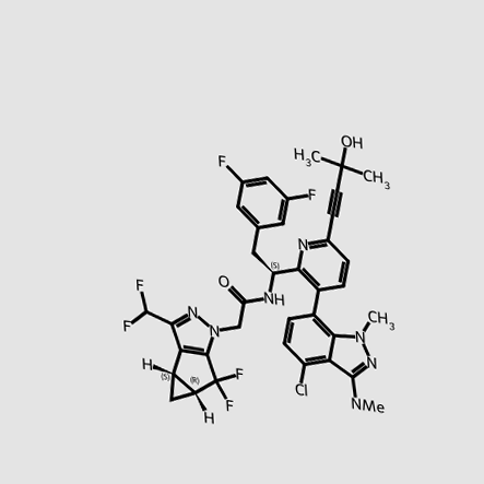 CNc1nn(C)c2c(-c3ccc(C#CC(C)(C)O)nc3[C@H](Cc3cc(F)cc(F)c3)NC(=O)Cn3nc(C(F)F)c4c3C(F)(F)[C@@H]3C[C@H]43)ccc(Cl)c12